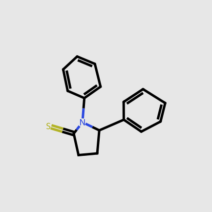 S=C1CCC(c2ccccc2)N1c1ccccc1